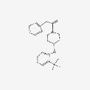 C=C(Cc1ccccc1)N1CCC(Oc2ccccc2C(C)(C)C)CC1